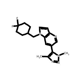 Cc1nnn(C)c1-c1cnc2ccn(CC3CCC(F)(F)CC3)c2c1